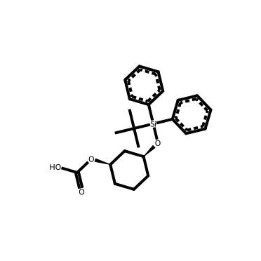 CC(C)(C)[Si](O[C@H]1CCC[C@@H](OC(=O)O)C1)(c1ccccc1)c1ccccc1